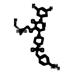 Nc1ccc(CS(=O)(=O)N2CCN(c3cnn(-c4cc(F)cc(F)c4)c(=O)c3OC[C@H]3C[C@@H]3CF)CC2)cc1